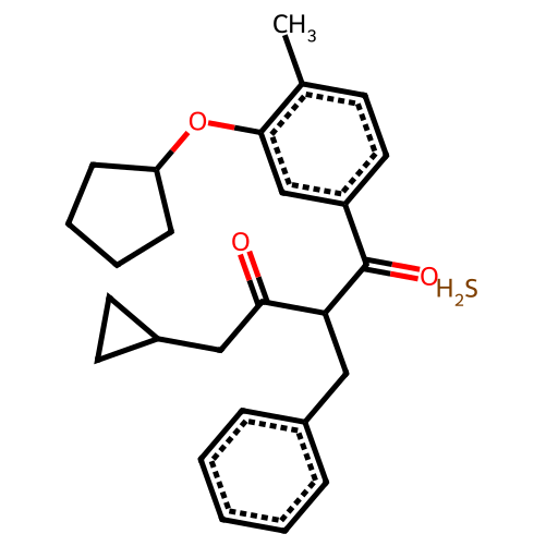 Cc1ccc(C(=O)C(Cc2ccccc2)C(=O)CC2CC2)cc1OC1CCCC1.S